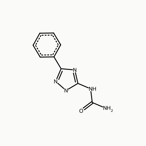 NC(=O)NC1=NC(c2ccccc2)=N[N]1